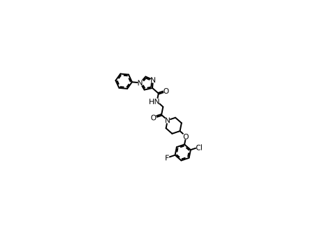 O=C(NCC(=O)N1CCC(Oc2cc(F)ccc2Cl)CC1)c1cn(-c2ccccc2)cn1